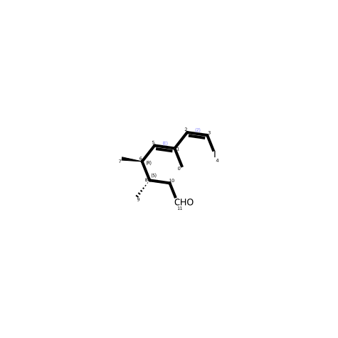 CC(/C=C\I)=C\[C@H](C)[C@@H](C)CC=O